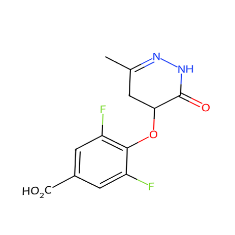 CC1=NNC(=O)C(Oc2c(F)cc(C(=O)O)cc2F)C1